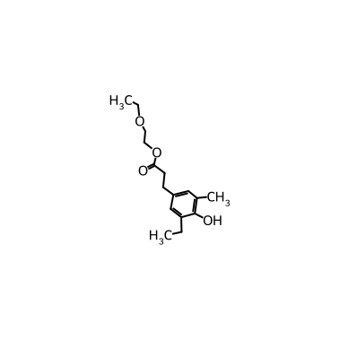 CCOCCOC(=O)CCc1cc(C)c(O)c(CC)c1